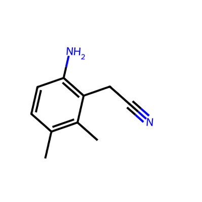 Cc1ccc(N)c(CC#N)c1C